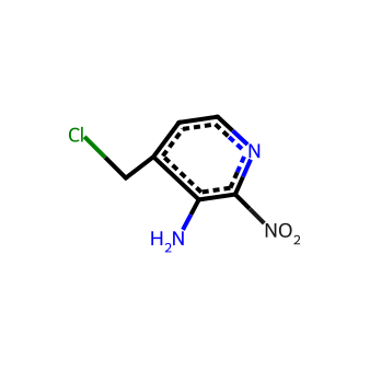 Nc1c(CCl)ccnc1[N+](=O)[O-]